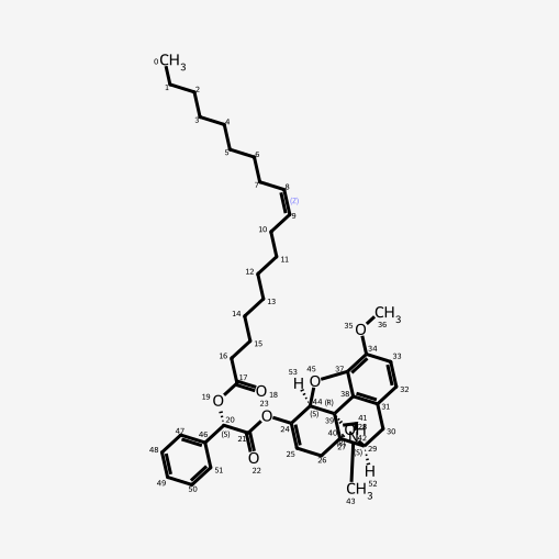 CCCCCCCC/C=C\CCCCCCCC(=O)O[C@H](C(=O)OC1=CC[C@]2(O)[C@@H]3Cc4ccc(OC)c5c4[C@]2(CCN3C)[C@@H]1O5)c1ccccc1